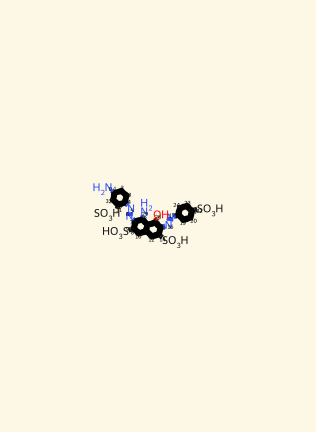 Nc1ccc(N=Nc2c(S(=O)(=O)O)cc3cc(S(=O)(=O)O)c(N=Nc4ccc(S(=O)(=O)O)cc4)c(O)c3c2N)c(S(=O)(=O)O)c1